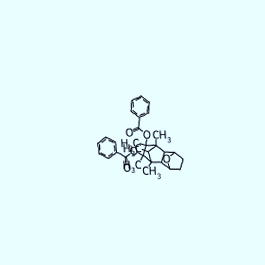 CC1C2(C)C3C4CCC(O4)C3C1(C)C(C)(OC(=O)c1ccccc1)C2(C)OC(=O)c1ccccc1